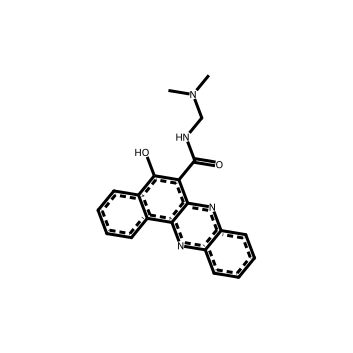 CN(C)CNC(=O)c1c(O)c2ccccc2c2nc3ccccc3nc12